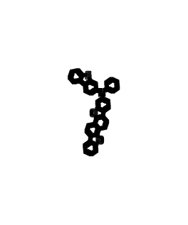 c1ccc(N(c2ccc3c(c2)oc2c3ccc3c2ccc2c4ccccc4oc23)c2ccc3c(c2)sc2ccccc23)cc1